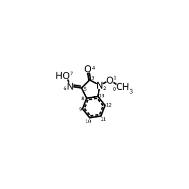 CON1C(=O)C(=NO)c2ccccc21